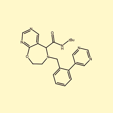 CC(C)(C)NC(=O)C1c2cncnc2OCCN1Cc1ccccc1-c1cncnc1